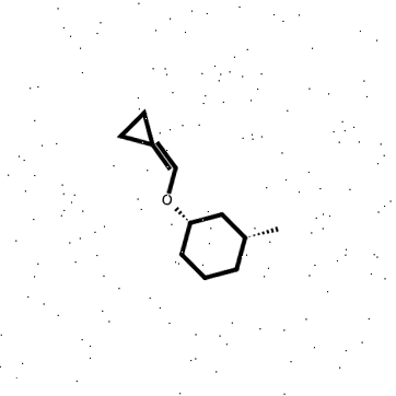 C[C@@H]1CCC[C@H](OC=C2CC2)C1